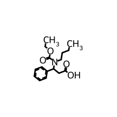 CCCCN(C(=O)OCC)C(CC(=O)O)c1ccccc1